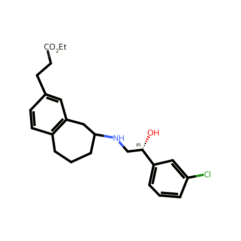 CCOC(=O)CCc1ccc2c(c1)CC(NC[C@H](O)c1cccc(Cl)c1)CCC2